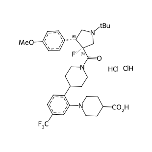 COc1ccc([C@@H]2CN(C(C)(C)C)C[C@@]2(F)C(=O)N2CCC(c3ccc(C(F)(F)F)cc3N3CCC(C(=O)O)CC3)CC2)cc1.Cl.Cl